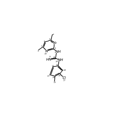 Cc1cc(C)nc(NC(=N)Nc2ccc(C)c(Cl)c2)n1